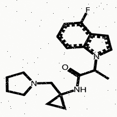 CC(C(=O)NC1(CN2CCCC2)CC1)n1ccc2c(F)cccc21